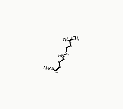 C=C(Cl)CCSNCC/C=C\NC